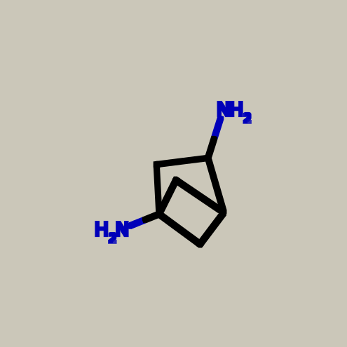 NC1CC2(N)CC1C2